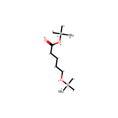 CC(C)(C)[Si](C)(C)OCCCCC(=O)O[Si](C)(C)C(C)(C)C